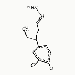 CCCCCCN=CCC(CO)c1ccc(Cl)c(Cl)c1